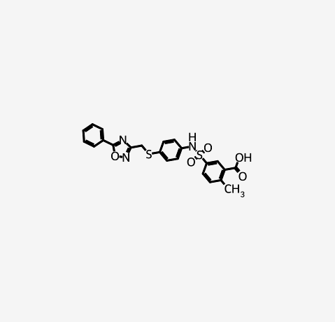 Cc1ccc(S(=O)(=O)Nc2ccc(SCc3noc(-c4ccccc4)n3)cc2)cc1C(=O)O